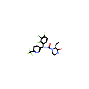 CC[C@@H]1C(=O)NCCN1C(=O)N[C@H](c1ccc(C(F)(F)F)nc1)c1ccc(F)c(Cl)c1F